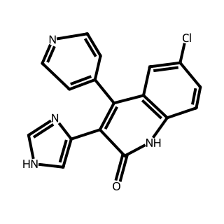 O=c1[nH]c2ccc(Cl)cc2c(-c2ccncc2)c1-c1c[nH]cn1